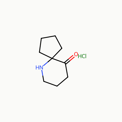 Cl.O=C1CCCNC12CCCC2